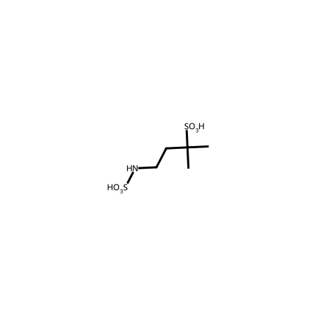 CC(C)(CCNS(=O)(=O)O)S(=O)(=O)O